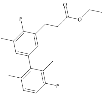 CCOC(=O)CCc1cc(-c2c(C)ccc(F)c2C)cc(C)c1F